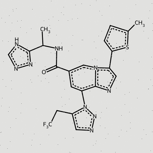 Cc1ccc(-c2cnc3c(-n4nncc4CC(F)(F)F)cc(C(=O)NC(C)c4nnc[nH]4)cn23)s1